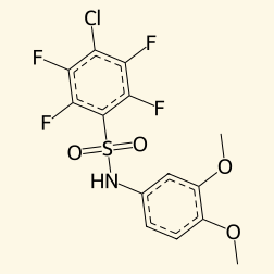 COc1ccc(NS(=O)(=O)c2c(F)c(F)c(Cl)c(F)c2F)cc1OC